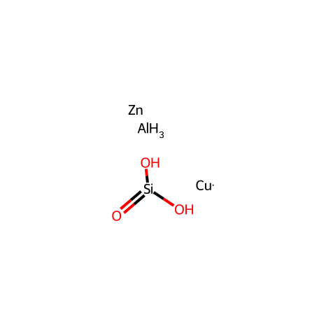 O=[Si](O)O.[AlH3].[Cu].[Zn]